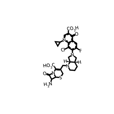 NC1C(=O)N2C(C(=O)O)=C(CN3CCC[C@H]4CN(c5c(F)cc6c(=O)c(C(=O)O)cn(C7CC7)c6c5Cl)C[C@H]43)CSC12